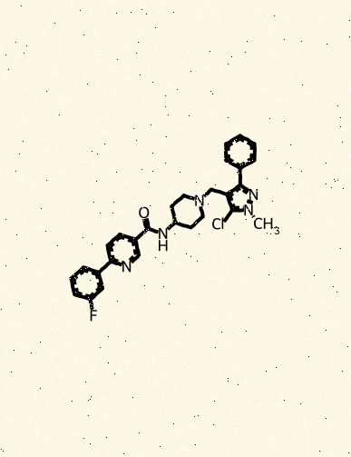 Cn1nc(-c2ccccc2)c(CN2CCC(NC(=O)c3ccc(-c4cccc(F)c4)nc3)CC2)c1Cl